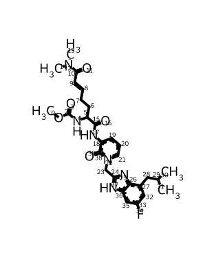 COC(=O)NC(CC/C=C/C(=O)N(C)C)C(=O)Nc1cccn(Cc2nc3c(CC(C)C)cc(F)cc3[nH]2)c1=O